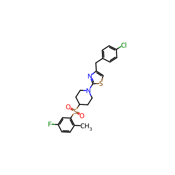 Cc1ccc(F)cc1S(=O)(=O)C1CCN(c2nc(Cc3ccc(Cl)cc3)cs2)CC1